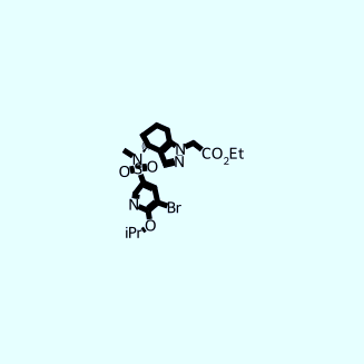 CCOC(=O)Cn1ncc2c1CCC[C@H]2N(C)S(=O)(=O)c1cnc(OC(C)C)c(Br)c1